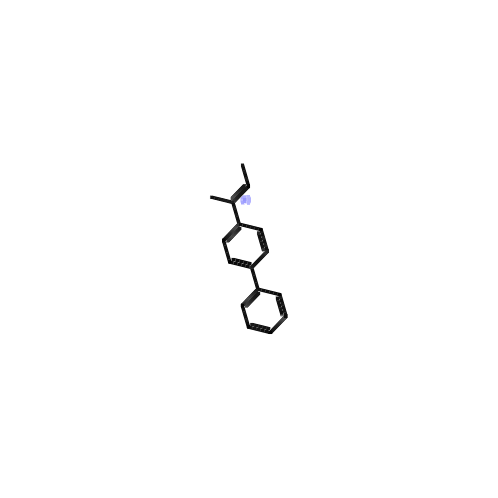 C/C=C(\C)c1ccc(-c2ccccc2)cc1